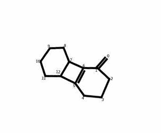 C=C1CCCC2=C1C1CCCCC21